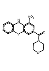 O=C(c1cc2c(c([N+](=O)[O-])c1)Nc1ccccc1S2)N1CCOCC1